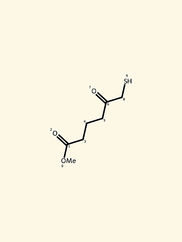 COC(=O)CCCC(=O)CS